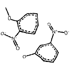 COc1ccccc1[N+](=O)[O-].O=[N+]([O-])c1cccc(Cl)c1